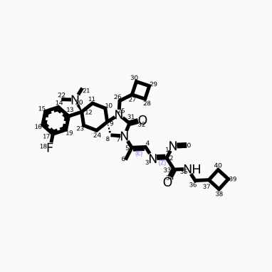 C=N/C(=N\C=C(/C)N1C[C@]2(CC[C@](c3cccc(F)c3)(N(C)C)CC2)N(CC2CCC2)C1=O)C(=O)NCC1CCC1